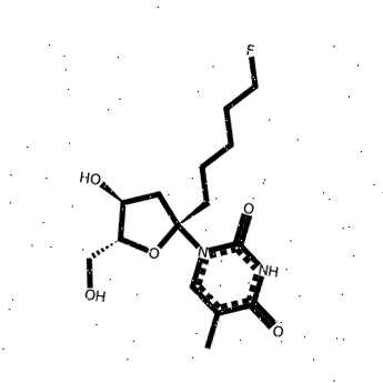 Cc1cn([C@@]2(CCCCCF)C[C@H](O)[C@@H](CO)O2)c(=O)[nH]c1=O